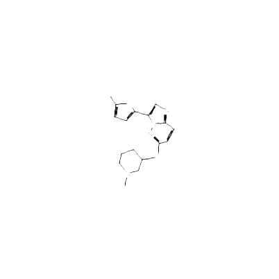 CN1CCCC(Oc2ccc3ncc(-c4ccc(Cl)s4)n3n2)C1